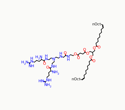 CCCCCCCC/C=C\CCCCCCCC(=O)OCC(COC(=O)CCCCCCC/C=C\CCCCCCCC)COC(=O)CCC(=O)OCCNC(=O)CNCCN(CCNC(=O)C(N)CCCNC(=N)N)CCNC(=O)C(N)CCCNC(=N)N